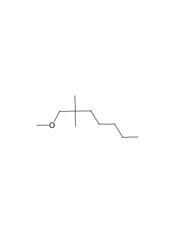 CCCCCC(C)(C)COC